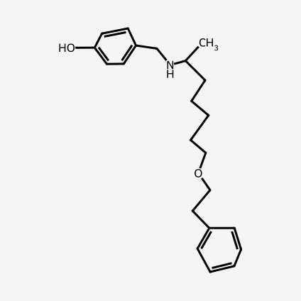 CC(CCCCCOCCc1ccccc1)NCc1ccc(O)cc1